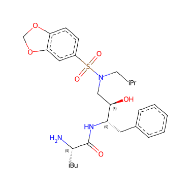 CCC(C)[C@H](N)C(=O)N[C@@H](Cc1ccccc1)[C@H](O)CN(CC(C)C)S(=O)(=O)c1ccc2c(c1)OCO2